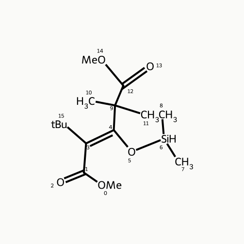 COC(=O)C(=C(O[SiH](C)C)C(C)(C)C(=O)OC)C(C)(C)C